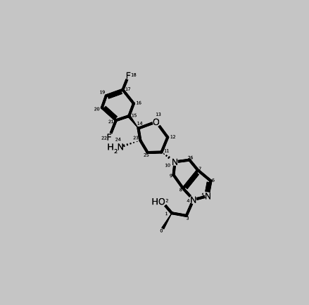 C[C@@H](O)Cn1ncc2c1CN([C@H]1CO[C@H](C3CC(F)=CC=C3F)[C@@H](N)C1)C2